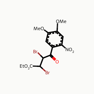 CCOC(=O)C(Br)C(Br)C(=O)c1cc(OC)c(OC)cc1[N+](=O)[O-]